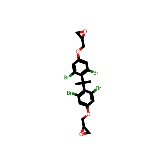 CC(C)(c1c(Br)cc(OCC2CO2)cc1Br)c1c(Br)cc(OCC2CO2)cc1Br